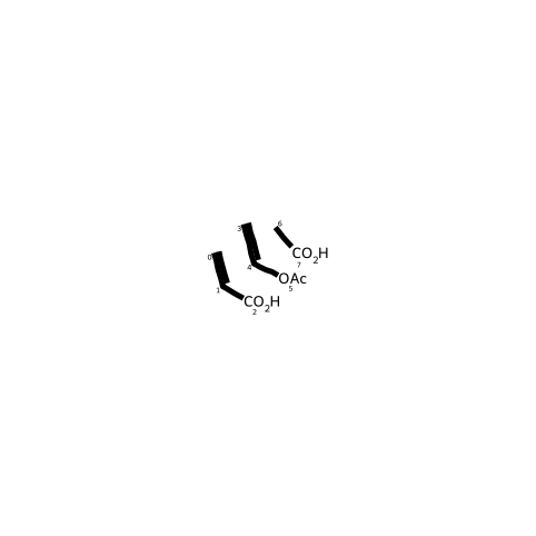 C=CC(=O)O.C=COC(C)=O.CC(=O)O